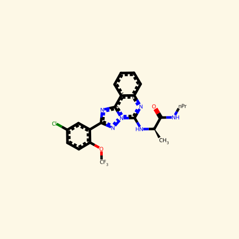 CCCNC(=O)[C@@H](C)Nc1nc2ccccc2c2nc(-c3cc(Cl)ccc3OC(F)(F)F)nn12